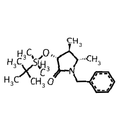 C[C@@H]1[C@@H](O[Si](C)(C)C(C)(C)C)C(=O)N(Cc2ccccc2)[C@H]1C